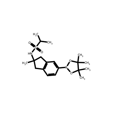 CC(C)S(=O)(=O)NC1(C)Cc2ccc(B3OC(C)(C)C(C)(C)O3)cc2C1